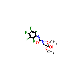 CO[Si](O)(CNC(=O)Nc1c(F)c(F)c(F)c(F)c1F)OC